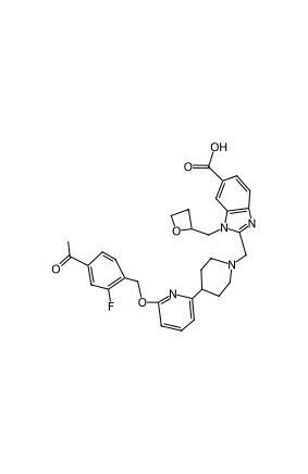 CC(=O)c1ccc(COc2cccc(C3CCN(Cc4nc5ccc(C(=O)O)cc5n4CC4CCO4)CC3)n2)c(F)c1